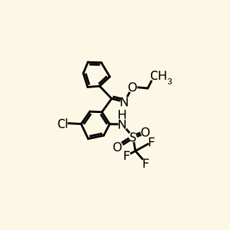 CCO/N=C(\c1ccccc1)c1cc(Cl)ccc1NS(=O)(=O)C(F)(F)F